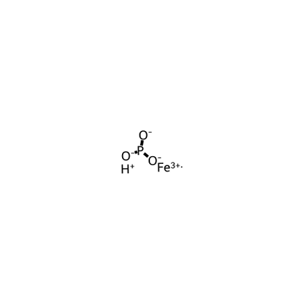 [Fe+3].[H+].[O-]P([O-])[O-]